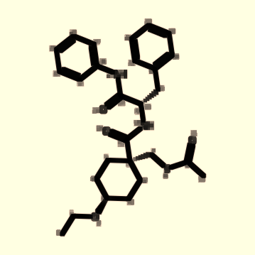 CCO[C@H]1CC[C@@](CSC(C)=O)(C(=O)N[C@@H](Cc2ccccc2)C(=O)Nc2ccccc2)CC1